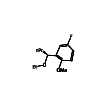 CCC[C@H](OCC)c1cc(F)ccc1OC